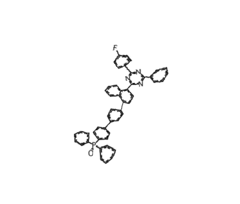 O=P(c1ccccc1)(c1ccccc1)c1ccc(-c2ccc(-c3ccc(-c4nc(-c5ccccc5)nc(-c5ccc(F)cc5)n4)c4ccccc34)cc2)cc1